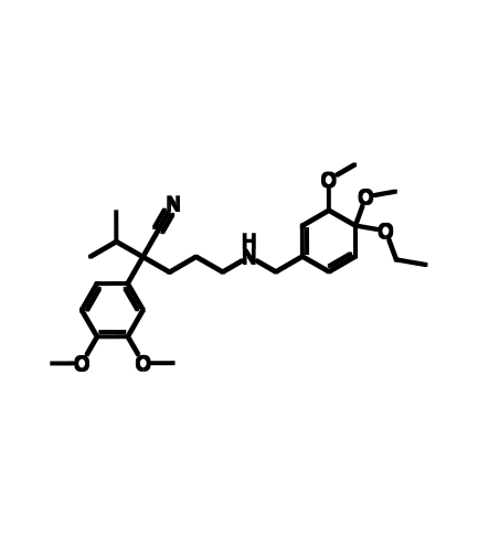 CCOC1(OC)C=CC(CNCCCC(C#N)(c2ccc(OC)c(OC)c2)C(C)C)=CC1OC